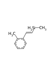 C[SiH2]C=Cc1ccccc1C